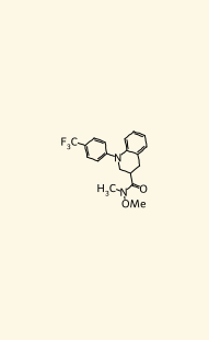 CON(C)C(=O)C1Cc2ccccc2N(c2ccc(C(F)(F)F)cc2)C1